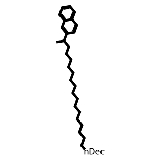 CCCCCCCCCCCCCCCCCCCCCCCCCCC(C)c1ccc2ccccc2c1